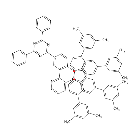 Cc1cc(C)cc(-c2ccc3c(c2)c2cc(-c4cc(C)cc(C)c4)ccc2n3-c2ccc(-c3nc(-c4ccccc4)nc(-c4ccccc4)n3)cc2-c2ncccc2-n2c3ccc(-c4cc(C)cc(C)c4)cc3c3cc(-c4cc(C)cc(C)c4)ccc32)c1